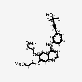 COCCOC1=CC2N=CN=C(Nc3cccc(C#CC(C)(C)O)c3)C2C=C1OCCOC